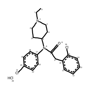 CCN1CCC(N(C(=O)Cc2ccccc2Cl)c2ccc(Cl)cc2)CC1.Cl